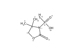 CC1(C)COC(=O)N1P(=O)(O)S